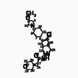 COC1CN([C@H]2CC[C@@H](c3cc4cc(NC(=O)[C@H]5CC56CCOCC6)ncc4cc3Cl)CC2)C1